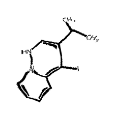 CC(C)C1=CNN2C=CC=CC2=C1I